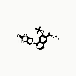 CC(C)(C)Oc1cc2c(N3CC4NC(=O)OC4C3)nccc2cc1C(N)=O